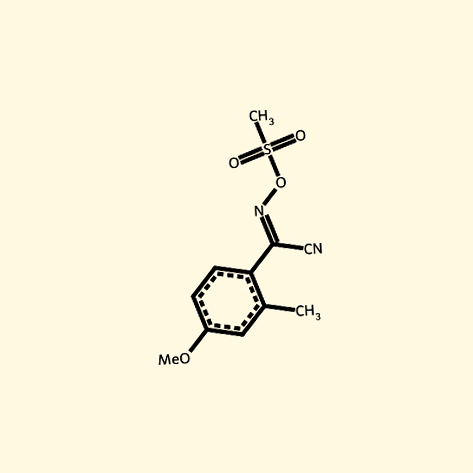 COc1ccc(/C(C#N)=N/OS(C)(=O)=O)c(C)c1